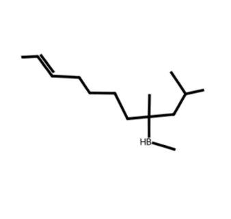 CBC(C)(CCCCC=CC)CC(C)C